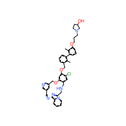 Cc1c(COc2cc(OCc3cncc(C#N)c3)c(CNCc3ncc4ccccn34)cc2Cl)cccc1-c1cccc(OCCCN2CCC(O)C2)c1C